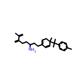 C=C(C)C(=C)CCC(N)CCC1=CCC(C)(C(C)(C)c2ccc(C)cc2)C=C1